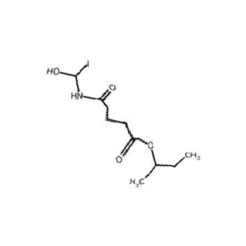 CCC(C)OC(=O)CCC(=O)NC(O)I